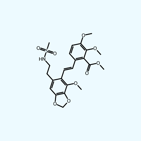 COC(=O)c1c(/C=C/c2c(CCNS(C)(=O)=O)cc3c(c2OC)OCO3)ccc(OC)c1OC